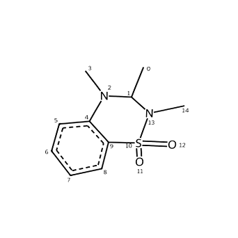 CC1N(C)c2ccccc2S(=O)(=O)N1C